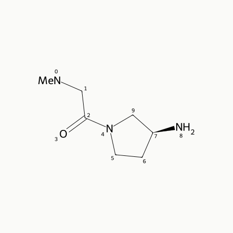 CNCC(=O)N1CC[C@H](N)C1